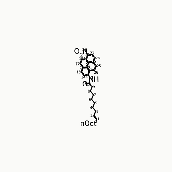 CCCCCCCCC=CCCCCCCCC(=O)Nc1ccc2ccc3c([N+](=O)[O-])ccc4ccc1c2c43